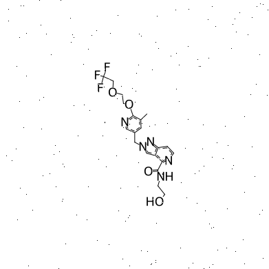 Cc1cc(Cn2cc3c(C(=O)NCCO)nccc3n2)cnc1OCCOCC(F)(F)F